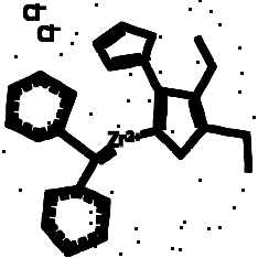 CCC1=C(CC)C(C2=CC=CC2)=[C]([Zr+2]=[C](c2ccccc2)c2ccccc2)C1.[Cl-].[Cl-]